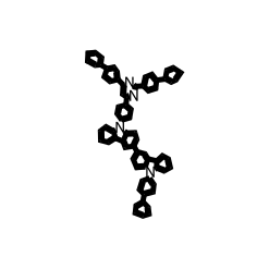 c1ccc(-c2ccc(-c3cc(-c4ccc(-n5c6ccccc6c6cc(-c7ccc8c(c7)c7ccccc7n8-c7ccc(-c8ccccc8)cc7)ccc65)cc4)nc(-c4ccc(-c5ccccc5)cc4)n3)cc2)cc1